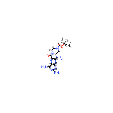 CC(C)(C)OC(=O)N1CCN(C(=O)c2nc3c(N)nc(N)nc3nc2N)CC1